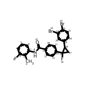 Cc1c(F)cccc1NC(=O)c1ccc(C2(F)CC2c2ccc(Br)c(Br)c2)cc1